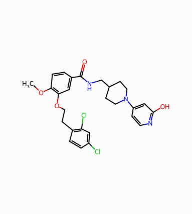 COc1ccc(C(=O)NCC2CCN(c3ccnc(O)c3)CC2)cc1OCCc1ccc(Cl)cc1Cl